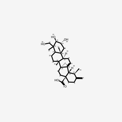 C=C1CC[C@]2(C(=O)O)CC[C@]3(C)C(=CC[C@@H]4[C@@]5(C)C[C@@H](O)[C@H](O)C(C)(CO)C5CC[C@]43C)[C@@H]2[C@H]1C